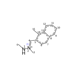 CN/[N+](C)=C/c1ccc2ccccc2c1C